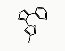 Clc1cnn(C2=N[N]C=C2c2ccccc2)c1